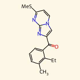 CCc1c(C)cccc1C(=O)c1cn2ccc(SC)nc2n1